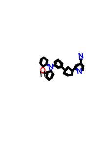 N#Cc1ccnc(C2C=C(c3cccc(N4C5CCC=CC5O[C@H]5C=CC=CC54)c3)C=CC2)c1